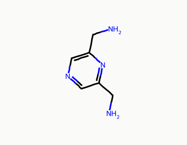 NCc1cncc(CN)n1